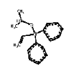 C=C[Si](O[SiH](C)C)(c1ccccc1)c1ccccc1